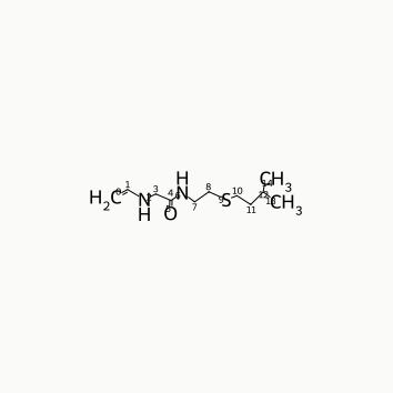 C=CNCC(=O)NCCSCCC(C)C